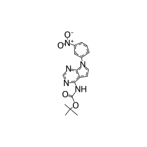 CC(C)(C)OC(=O)Nc1ncnc2c1ccn2-c1cccc([N+](=O)[O-])c1